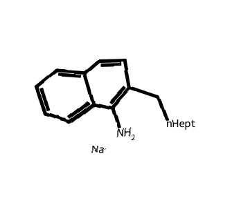 CCCCCCCCc1ccc2ccccc2c1N.[Na]